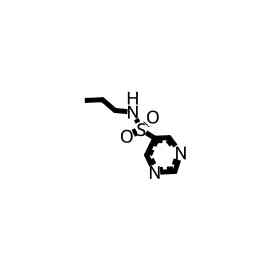 CCCNS(=O)(=O)c1cncnc1